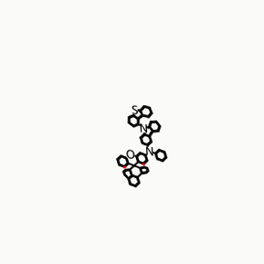 c1ccc(N(c2ccc3c(c2)Oc2ccccc2C32c3ccccc3-c3cccc4cccc2c34)c2ccc3c(c2)c2ccccc2n3-c2cccc3sc4ccccc4c23)cc1